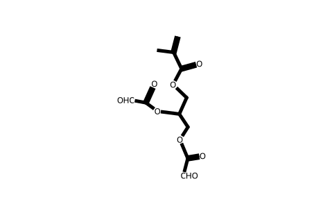 C=C(C)C(=O)OCC(COC(=O)C=O)OC(=O)C=O